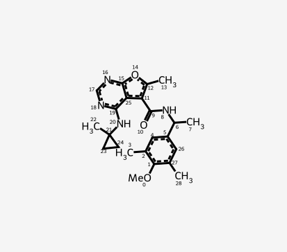 COc1c(C)cc(C(C)NC(=O)c2c(C)oc3ncnc(NC4(C)CC4)c23)cc1C